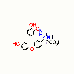 NOc1ccccc1O.O=C(O)[C@](I)(Cc1ccc(Oc2ccc(O)cc2)cc1)N(I)I